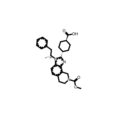 COC(=O)N1CCc2ccc3c(nc([C@H]4CC[C@H](C(=O)O)CC4)n3[C@H](C)Cc3ccccc3)c2C1